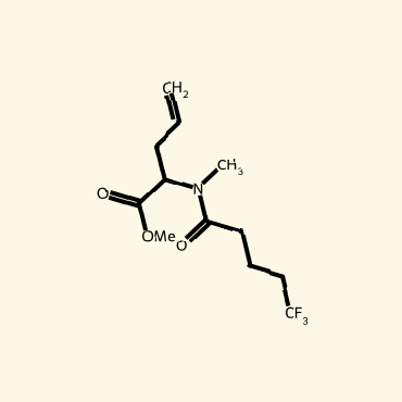 C=CCC(C(=O)OC)N(C)C(=O)CCCC(F)(F)F